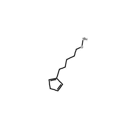 CC(C)(C)OCCCCCC1=CCC=C1